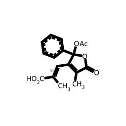 CC(=O)OC1(c2ccccc2)OC(=O)C(C)=C1/C=C(\C)C(=O)O